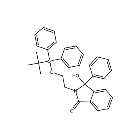 CC(C)(C)[Si](OCCN1C(=O)c2ccccc2C1(O)c1ccccc1)(c1ccccc1)c1ccccc1